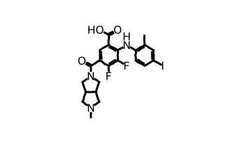 Cc1cc(I)ccc1Nc1c(C(=O)O)cc(C(=O)N2CC3CN(C)CC3C2)c(F)c1F